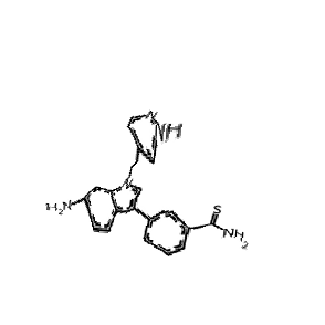 NC(=S)c1cccc(-c2cn(Cc3cn[nH]c3)c3cc(N)ccc23)c1